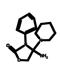 NC1(N2CCCCC2)COC(=O)N1c1ccccc1